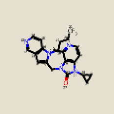 Cc1nccc2c1n(Cc1cc3cnccc3n1CCCC(F)(F)F)c(=O)n2C1CC1